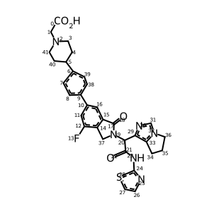 O=C(O)CN1CCC(c2ccc(-c3cc(F)c4c(c3)C(=O)N(C(C(=O)Nc3nccs3)c3ncn5c3CCC5)C4)cc2)CC1